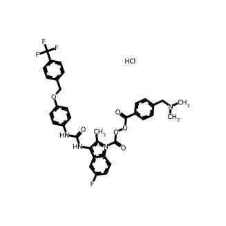 Cc1c(NC(=O)Nc2ccc(OCc3ccc(C(F)(F)F)cc3)cc2)c2cc(F)ccc2n1C(=O)OOC(=O)c1ccc(CN(C)C)cc1.Cl